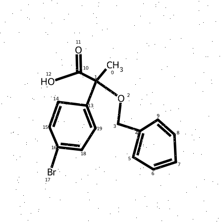 CC(OCc1ccccc1)(C(=O)O)c1ccc(Br)cc1